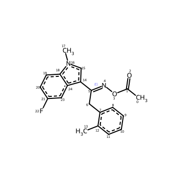 CC(=O)O/N=C(\Cc1ccccc1C)c1cn(C)c2ccc(F)cc12